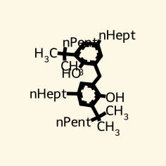 CCCCCCCc1cc(Cc2cc(CCCCCCC)cc(C(C)(C)CCCCC)c2O)c(O)c(C(C)(C)CCCCC)c1